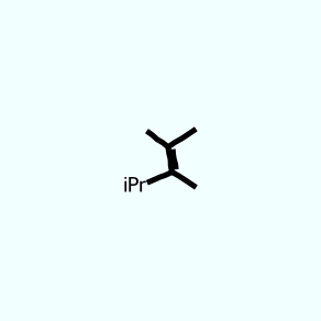 CC(C)=C(C)C(C)C